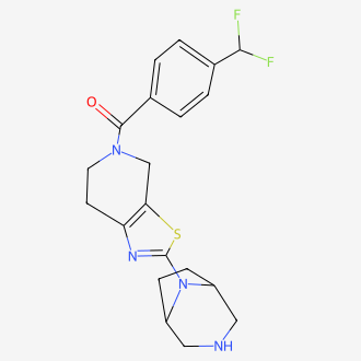 O=C(c1ccc(C(F)F)cc1)N1CCc2nc(N3C4CCC3CNC4)sc2C1